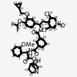 COc1ccccc1C(NC(=O)c1cccc(C(=O)OC(Cc2c(Cl)c[n+]([O-])cc2Cl)c2ccc(OC(F)F)c(OCC3CC3)c2)c1)C(=O)O[C@H]1CN2CCC1CC2